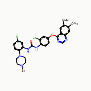 CCN1CCN(c2ccc(Cl)cc2NC(=O)Nc2ccc(Oc3ncnc4cc(OC)c(OC)cc34)cc2Cl)CC1